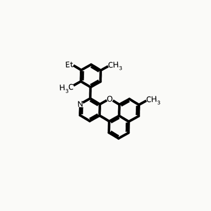 CCc1cc(C)cc(-c2nccc3c2Oc2cc(C)cc4cccc-3c24)c1C